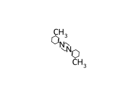 CC1C=C(N2CCN(C3=CC(C)CCC3)CC2)CCC1